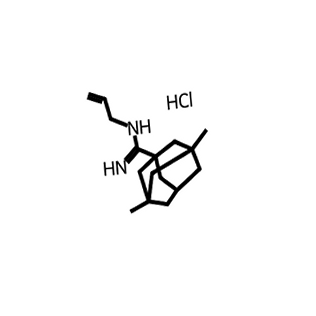 C=CCNC(=N)C12CC3CC(C)(CC(C)(C3)C1)C2.Cl